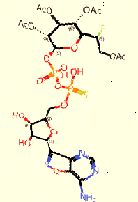 CC(=O)OC[C@H](F)C1O[C@@H](OP(=O)(O)OP(O)(=S)OC[C@H]2O[C@@H](c3noc4c(N)ncnc34)C(O)[C@H]2O)[C@H](OC(C)=O)C(OC(C)=O)[C@@H]1OC(C)=O